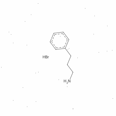 Br.NCCCc1ccccc1